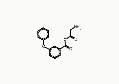 NCC(=O)OC(=O)c1cccc(Oc2ccccc2)c1